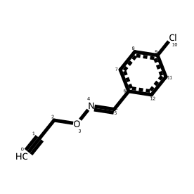 C#CCON=[C]c1ccc(Cl)cc1